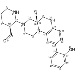 O=C[C@H]1CCCNC1N1CCN2c3cc(-c4ccccc4O)nnc3NC[C@H]2C1